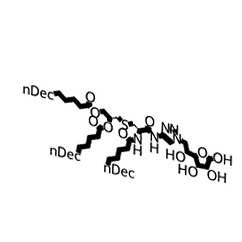 CCCCCCCCCCCCCCC(=O)N[C@H](CSC[C@@H](COC(=O)CCCCCCCCCCCCCC)OC(=O)CCCCCCCCCCCCCC)C(=O)Nc1cn(C[C@H](O)C2OC(O)[C@@H](O)[C@@H]2O)nn1